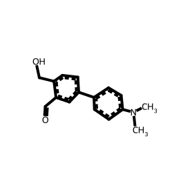 CN(C)c1ccc(-c2ccc(CO)c(C=O)c2)cc1